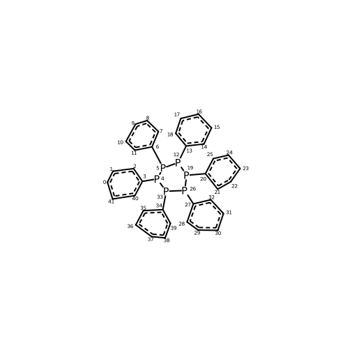 c1ccc(P2P(c3ccccc3)P(c3ccccc3)P(c3ccccc3)P(c3ccccc3)P2c2ccccc2)cc1